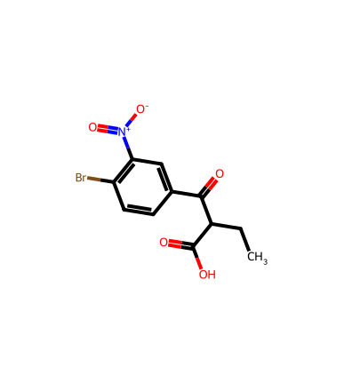 CCC(C(=O)O)C(=O)c1ccc(Br)c([N+](=O)[O-])c1